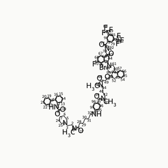 CN(CCN1CCC(OC(=O)Nc2ccccc2-c2ccccc2)CC1)C(=O)CCCCCNc1ccc(C(=O)N(C)CCCN(C)C(=O)CO[C@H]2Cc3ccccc3C23CCN(CC[C@@]2(c4ccc(F)c(Br)c4)CN(C(=O)c4cc(C(F)(F)F)cc(C(F)(F)F)c4)CO2)CC3)cc1